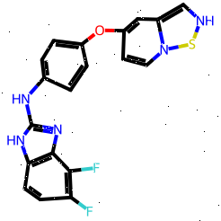 Fc1ccc2[nH]c(Nc3ccc(OC4=CC5=CNSN5C=C4)cc3)nc2c1F